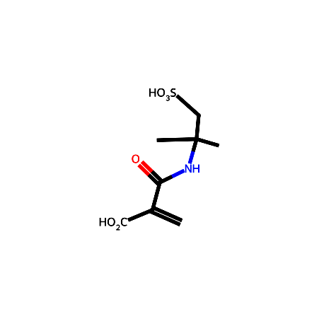 C=C(C(=O)O)C(=O)NC(C)(C)CS(=O)(=O)O